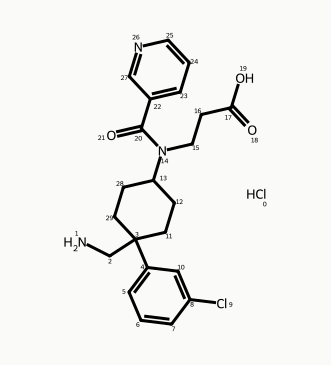 Cl.NCC1(c2cccc(Cl)c2)CCC(N(CCC(=O)O)C(=O)c2cccnc2)CC1